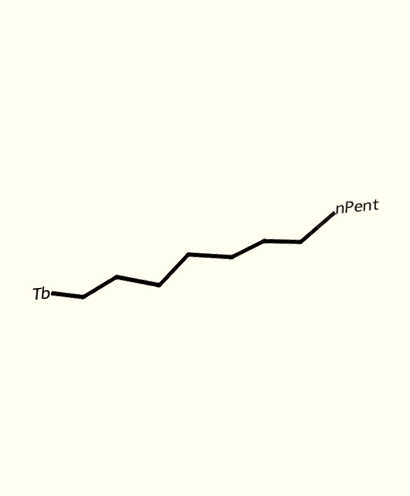 CCCCCCCCCCC[CH2][Tb]